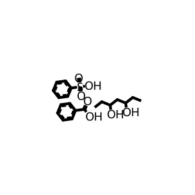 CCC(O)CC(O)CC.O=C(O)c1ccccc1.O=S(=O)(O)c1ccccc1